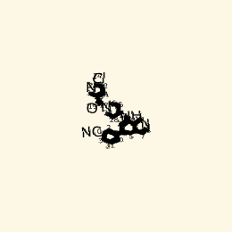 N#CC1C=C(C2=CC3C=CN=CC3C(NC3CCN(C(=O)C4=CCC(Cl)N=C4)CC3)=C2)C=CC1